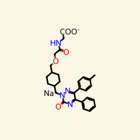 Cc1ccc(-c2nn(CC3CCC(COCC(=O)NCC(=O)[O-])CC3)c(=O)nc2-c2ccccc2)cc1.[Na+]